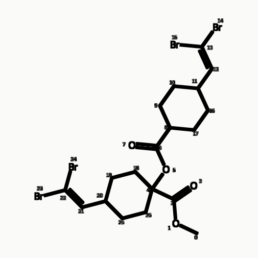 COC(=O)C1(OC(=O)C2CCC(C=C(Br)Br)CC2)CCC(C=C(Br)Br)CC1